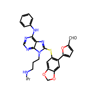 CC(C)NCCCn1c(Sc2cc3c(cc2-c2ccc(C=O)o2)OCO3)nc2c(Nc3ccccc3)ncnc21